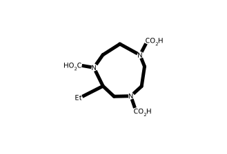 CCC1CN(C(=O)O)CCN(C(=O)O)CCN1C(=O)O